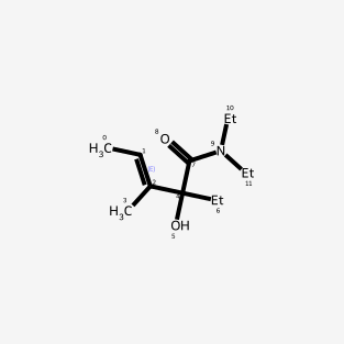 C/C=C(\C)C(O)(CC)C(=O)N(CC)CC